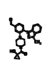 Cc1nn(-c2ccc(C=O)cc2N2CCN(C(=O)C3(O)CC3)CC2)c2ccccc12